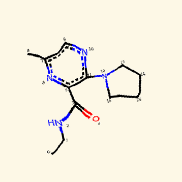 CCNC(=O)c1nc(C)cnc1N1CCCC1